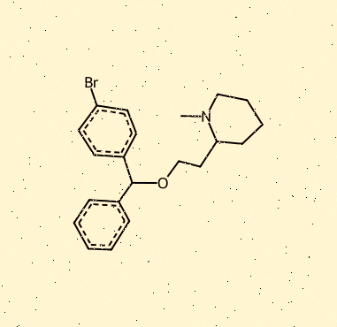 CN1CCCCC1CCOC(c1ccccc1)c1ccc(Br)cc1